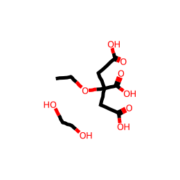 CCOC(CC(=O)O)(CC(=O)O)C(=O)O.OCCO